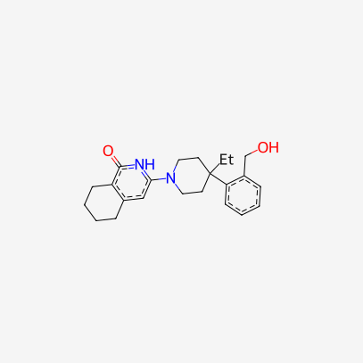 CCC1(c2ccccc2CO)CCN(c2cc3c(c(=O)[nH]2)CCCC3)CC1